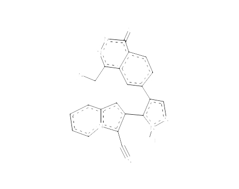 Cn1ncc(-c2ccc3c(=O)[nH]nc(CN)c3c2)c1-c1cc2ccccn2c1C#N